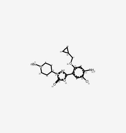 CCCCN1CCC(n2nc(-c3cc(Cl)c(N)cc3OCC3CC3)oc2=O)CC1